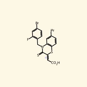 CC(C)c1ccc2c(c1)N(Cc1ccc(Br)cc1F)C(=S)/C(=C/C(=O)O)S2